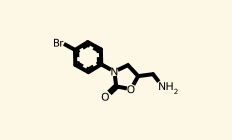 NCC1CN(c2ccc(Br)cc2)C(=O)O1